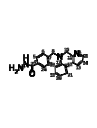 NNC(=O)c1ccc(CN(Cc2ccccn2)c2ccccc2)cc1